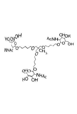 CC(=O)NC1CC(O)(CO)C(CO)O[C@H]1OCCCCCOCC(C)(COCCCCCO[C@@H]1OC(CO)C(O)=C(O)C1NC(C)=O)COCCCCCO[C@@H]1OC(CO)[C@H](O)C(O)C1NC(C)=O